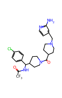 Nc1cc(CN2CCC(C(=O)N3CCC(C(NC(=O)C(F)(F)F)c4ccc(Cl)cc4)CC3)CC2)ccn1